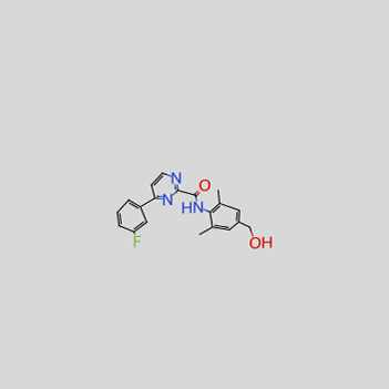 Cc1cc(CO)cc(C)c1NC(=O)c1nccc(-c2cccc(F)c2)n1